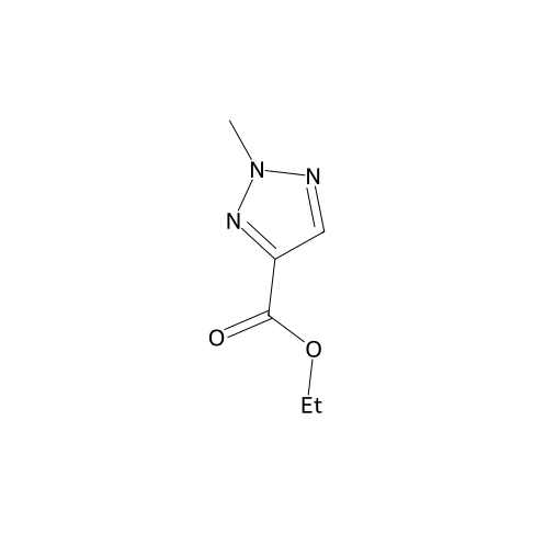 CCOC(=O)c1cnn(C)n1